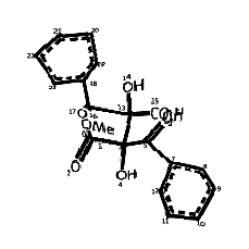 COC(=O)C(O)(C(=O)c1ccccc1)C(O)(C(=O)O)C(=O)c1ccccc1